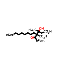 CCCCCCCCCCCCCCCCCC(C(=O)O)(C(=O)CCCCC)C(O)(CC(=O)O)C(=O)O